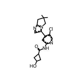 CC1(C)Cc2ncc(-c3cc(NC(=O)C4CC(O)C4)ncc3Cl)n2C1